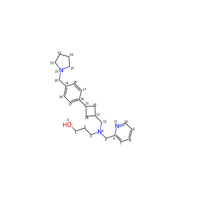 OCCCN(Cc1ccccn1)CC1CC(c2ccc(CN3CCCC3)cc2)C1